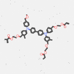 C=CC(=O)OCCOCc1ccc(N(c2ccc(-c3ccc(N(c4ccc(COC)cc4)c4ccc(COCCOC(=O)C(=C)C)c(C)c4)cc3)cc2)c2ccc(COCCOC(=O)CC)c(C)c2)cc1